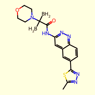 BC(B)(C(=O)Nc1cc2cc(-c3nnc(C)s3)ccc2nn1)N1CCOCC1